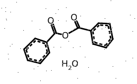 O.O=C(OC(=O)c1ccccc1)c1ccccc1